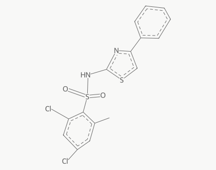 Cc1cc(Cl)cc(Cl)c1S(=O)(=O)Nc1nc(-c2ccccc2)cs1